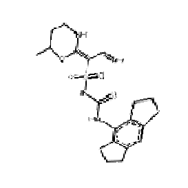 CC1CCN/C(=C(\C=N)S(=O)(=O)NC(=O)Nc2c3c(cc4c2CCC4)CCC3)O1